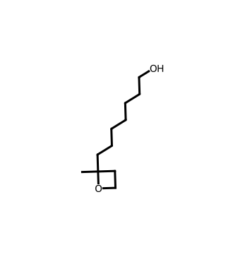 CC1(CCCCCCCO)CCO1